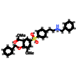 COC(=O)c1cc(S(=O)(=O)c2ccc(CCNCc3ccccc3)cc2)cc(OC)c1OCc1ccccc1